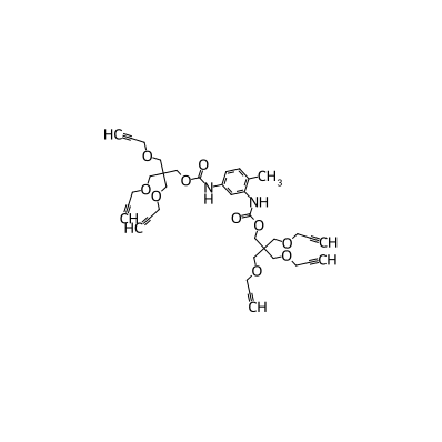 C#CCOCC(COCC#C)(COCC#C)COC(=O)Nc1ccc(C)c(NC(=O)OCC(COCC#C)(COCC#C)COCC#C)c1